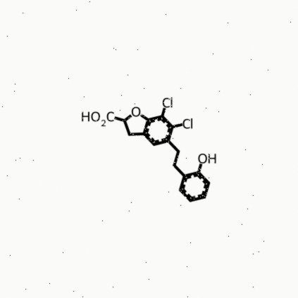 O=C(O)C1Cc2cc(CCc3ccccc3O)c(Cl)c(Cl)c2O1